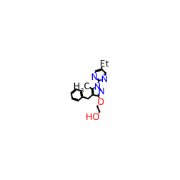 CCc1cnc(-n2nc(OCCO)c(Cc3ccccc3)c2C)nc1